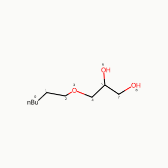 CCCCCCOCC(O)CO